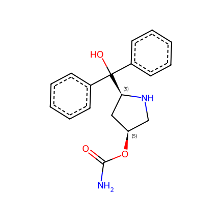 NC(=O)O[C@@H]1CN[C@H](C(O)(c2ccccc2)c2ccccc2)C1